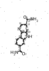 NC(=O)c1ccc2c(c1)[nH]c1cc(C(N)=O)cnc12